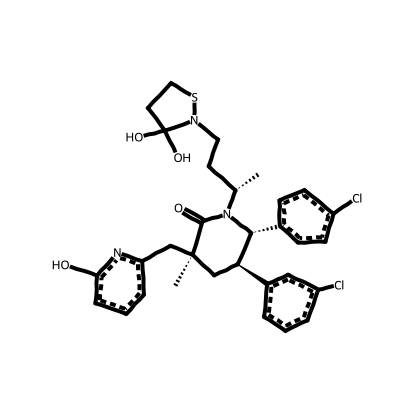 C[C@@H](CCN1SCCC1(O)O)N1C(=O)[C@](C)(Cc2cccc(O)n2)C[C@H](c2cccc(Cl)c2)[C@H]1c1ccc(Cl)cc1